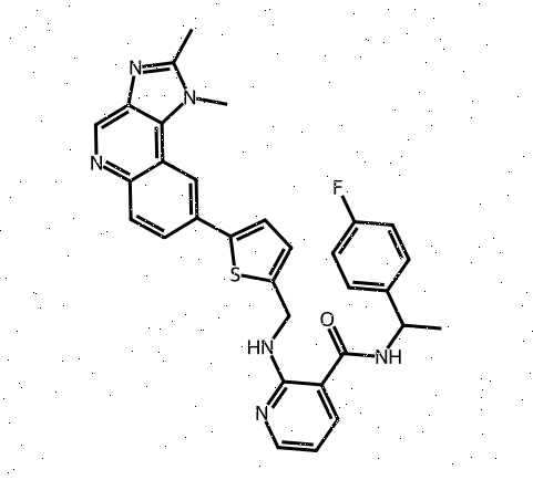 Cc1nc2cnc3ccc(-c4ccc(CNc5ncccc5C(=O)NC(C)c5ccc(F)cc5)s4)cc3c2n1C